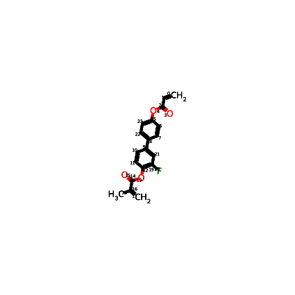 C=CC(=O)Oc1ccc(-c2ccc(OC(=O)C(=C)C)c(F)c2)cc1